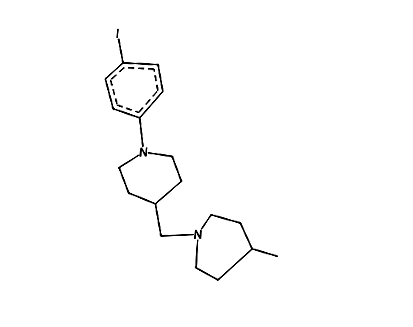 CC1CCN(CC2CCN(c3ccc(I)cc3)CC2)CC1